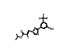 CC(C)OC(=O)/C(I)=C/n1cnc(-c2cc(S)cc(C(F)(F)F)c2)n1